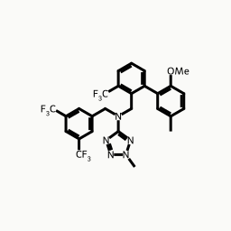 COc1ccc(C)cc1-c1cccc(C(F)(F)F)c1CN(Cc1cc(C(F)(F)F)cc(C(F)(F)F)c1)c1nnn(C)n1